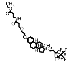 CCOC(=O)CCNC(=O)CCOCCOc1ccc2c(c1)CC[C@@H]1[C@@H]2CC[C@]2(C)[C@@H](OCCCOC(C(F)(F)F)(C(F)(F)F)C(F)(F)F)CC[C@@H]12